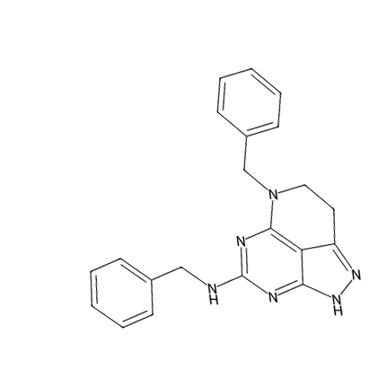 c1ccc(CNc2nc3c4c(n[nH]c4n2)CCN3Cc2ccccc2)cc1